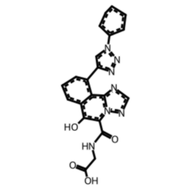 O=C(O)CNC(=O)c1c(O)c2cccc(-c3cn(-c4ccccc4)nn3)c2c2ncnn12